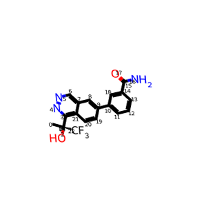 C[C@@](O)(c1nncc2cc(-c3cccc(C(N)=O)c3)ccc12)C(F)(F)F